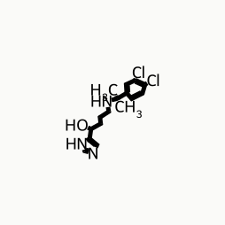 CC(C)(NCCCC(O)c1cnc[nH]1)c1ccc(Cl)c(Cl)c1